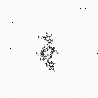 B[P@]1(=O)OCC2O[C@@H](n3cnc4c(=O)[nH]c(N)nc43)[C@@H](O[P@@](B)(=O)OC[C@H]3OC(n4cnc5c(N)ncnc54)[C@@H](O)[C@H]3O1)[C@H]2O